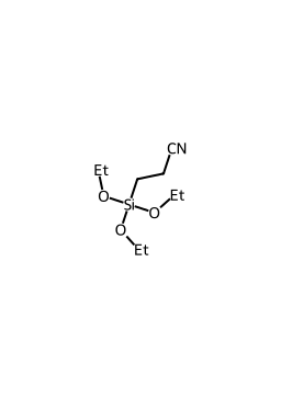 CCO[Si](CCC#N)(OCC)OCC